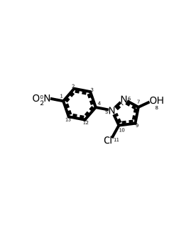 O=[N+]([O-])c1ccc(-n2nc(O)cc2Cl)cc1